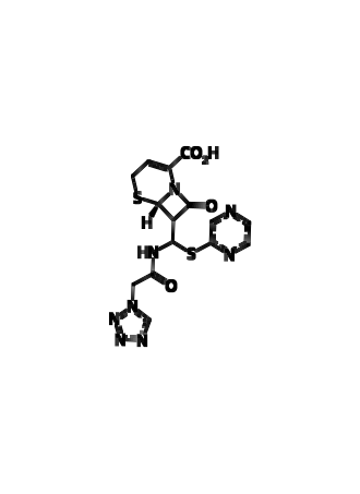 O=C(Cn1cnnn1)NC(Sc1cnccn1)C1C(=O)N2C(C(=O)O)=CCS[C@@H]12